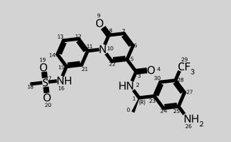 C[C@@H](NC(=O)c1ccc(=O)n(-c2cccc(NS(C)(=O)=O)c2)c1)c1cc(N)cc(C(F)(F)F)c1